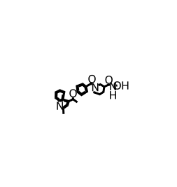 Cc1cc(C(C)Oc2ccc(C(=O)N3CCCC(C(=O)NO)C3)cc2)c2ccccc2n1